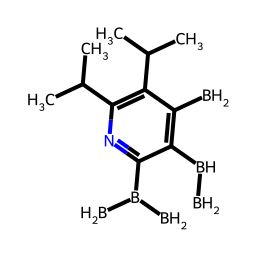 BBc1c(B(B)B)nc(C(C)C)c(C(C)C)c1B